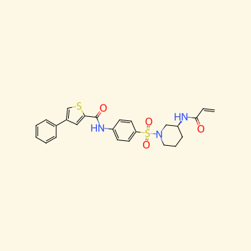 C=CC(=O)N[C@H]1CCCN(S(=O)(=O)c2ccc(NC(=O)c3cc(-c4ccccc4)cs3)cc2)C1